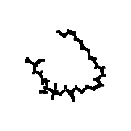 CC/C=C\CC=CCC=CC/C=C\C/C=C\CCCC(=O)OCC(C)(C)[C@@H](O)CNCCC(=O)O